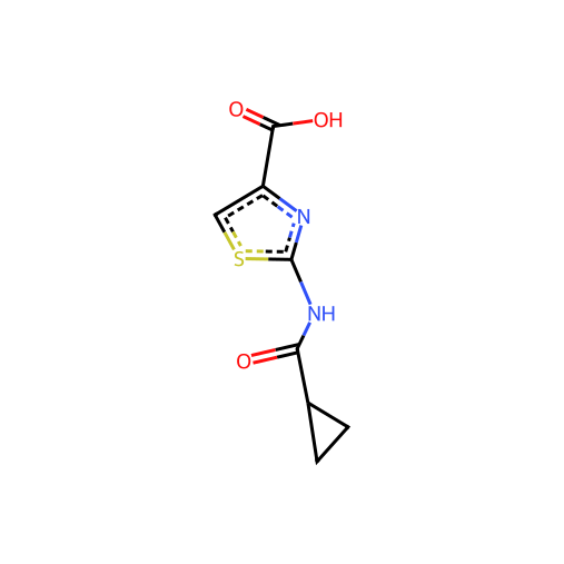 O=C(O)c1csc(NC(=O)C2CC2)n1